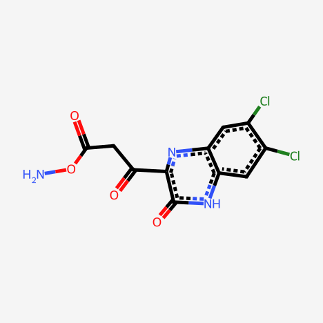 NOC(=O)CC(=O)c1nc2cc(Cl)c(Cl)cc2[nH]c1=O